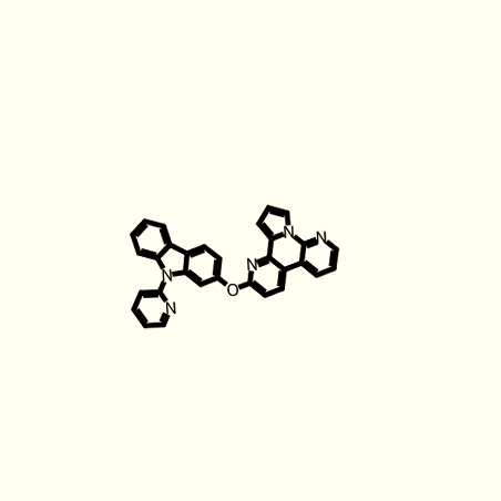 c1ccc(-n2c3ccccc3c3ccc(Oc4ccc5c6cccnc6n6cccc6c5n4)cc32)nc1